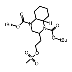 CC(C)(C)OC(=O)N1CC(CCOS(C)(=O)=O)N(C(=O)OC(C)(C)C)[C@H]2CCCCC21